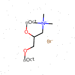 CCCCCCCCOCC(C[N+](C)(C)C)OCCCCCCCC.[Br-]